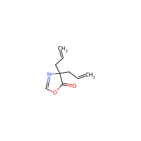 C=CCC1(CC=C)N=COC1=O